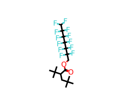 CC(C)(C)CC(C(=O)OCC(F)(F)C(F)(F)C(F)(F)C(F)(F)C(F)(F)C(F)F)C(C)(C)C